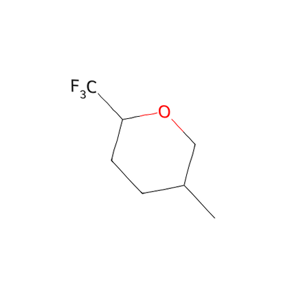 CC1CCC(C(F)(F)F)OC1